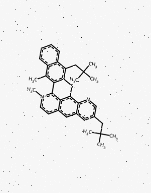 Cc1c2c(c(CC(C)(C)C)c3ccccc13)Sc1c3ncc(CC(C)(C)C)cc3cc3cc[n+](C)c-2c13